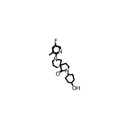 Cc1cc(F)cnc1N1CCC[C@@]2(CCN(C3CCC(O)CC3)C2=O)C1